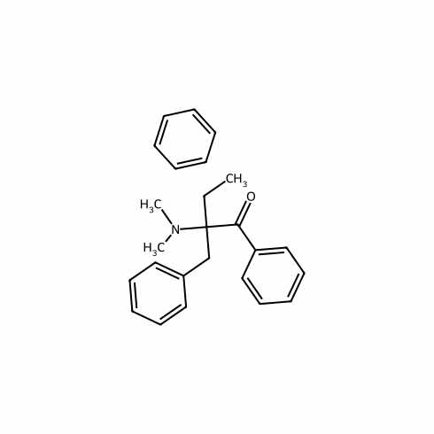 CCC(Cc1ccccc1)(C(=O)c1ccccc1)N(C)C.c1ccccc1